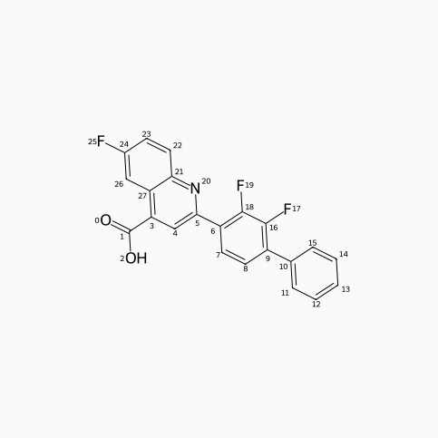 O=C(O)c1cc(-c2ccc(-c3ccccc3)c(F)c2F)nc2ccc(F)cc12